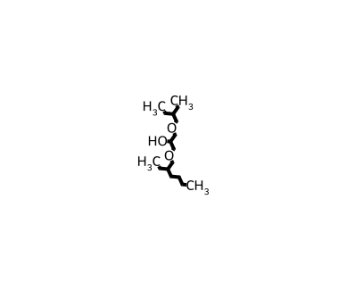 CCCCC(CC)COCC(O)COCC(CC)CC